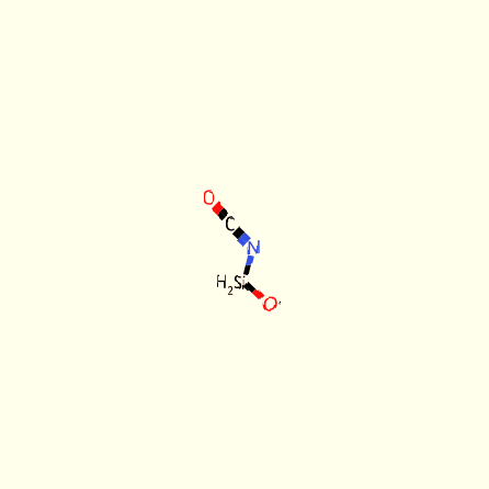 [O][SiH2]N=C=O